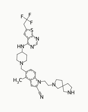 Cc1c(CN2CCC(Nc3ncnc4sc(CC(F)(F)F)cc34)CC2)ccc2c1cc(C#N)n2CCN1CCC2(CCNC2)C1